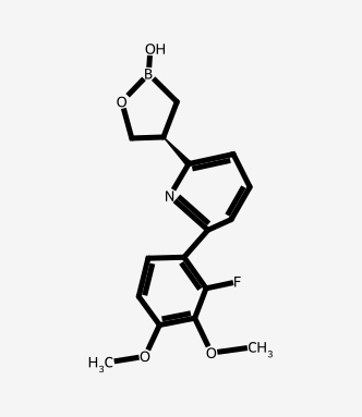 COc1ccc(-c2cccc([C@H]3COB(O)C3)n2)c(F)c1OC